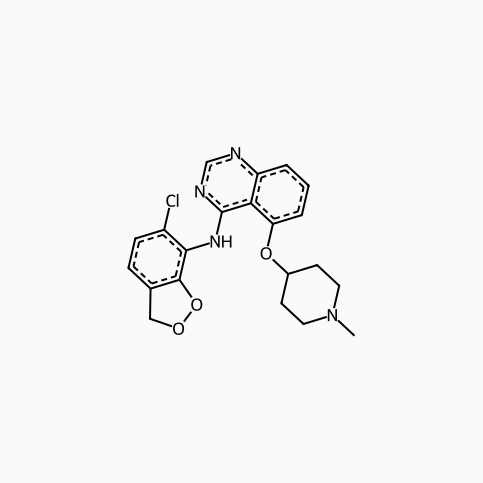 CN1CCC(Oc2cccc3ncnc(Nc4c(Cl)ccc5c4OOC5)c23)CC1